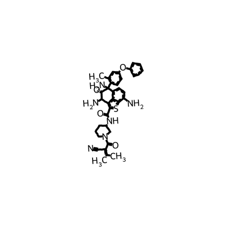 CC(C)=C(C#N)C(=O)N1CCCC(NC(=O)c2sc3c(N)ccc4c3c2C(N)C(=O)C4(N)c2ccc(Oc3ccccc3)cc2C)C1